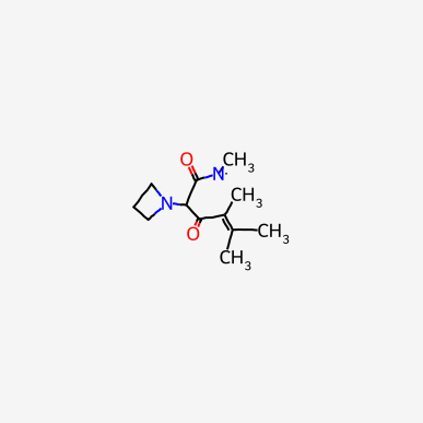 C[N]C(=O)C(C(=O)C(C)=C(C)C)N1CCC1